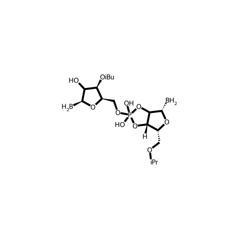 B[C@@H]1O[C@H](COP2(O)(O)OC3[C@H](B)O[C@H](COC(C)C)[C@@H]3O2)[C@H](OCC(C)C)C1O